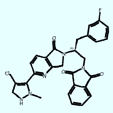 CN1NCC(Cl)=C1c1ccc2c(n1)CN([C@@H](Cc1cccc(F)c1)CN1C(=O)c3ccccc3C1=O)C2=O